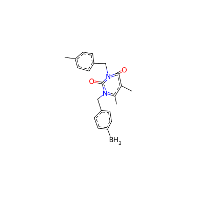 Bc1ccc(Cn2c(C)c(C)c(=O)n(Cc3ccc(C)cc3)c2=O)cc1